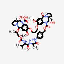 C=CCOC(=O)NC(C(=O)NC(C)C(=O)Nc1ccc(COC(=O)N2c3cc(OCCCOc4cc5c(cc4OC)C(=O)N4CCC[C@H]4[C@H](O)N5C(=O)O)c(OC)cc3C(=O)N3CCC[C@H]3[C@@H]2O)cc1)C(C)C